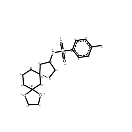 Cc1ccc(S(=O)(=O)OC2CC[C@]3(CCCC4(C3)OCCO4)C2)cc1